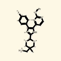 CC(C)Oc1nccc(-c2[nH]c(C3OCC(C)(CN)CO3)nc2-c2ccc(F)cc2)n1